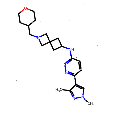 Cc1nn(C)cc1-c1ccc(NC2CC3(C2)CN(CC2CCOCC2)C3)nn1